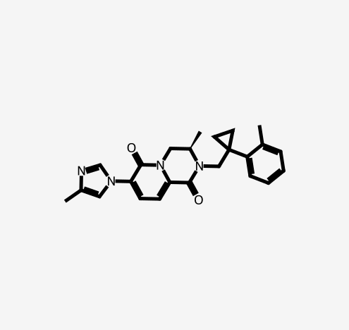 Cc1cn(-c2ccc3n(c2=O)C[C@@H](C)N(CC2(c4ccccc4C)CC2)C3=O)cn1